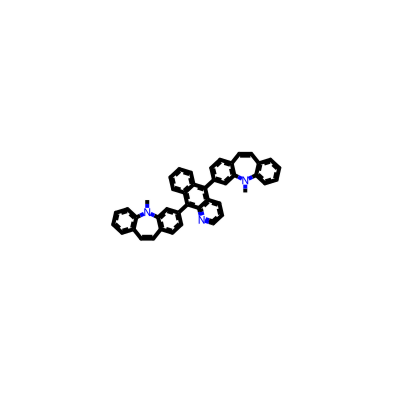 CN1c2ccccc2C=Cc2ccc(-c3c4ccccc4c(-c4ccc5c(c4)N(C)c4ccccc4C=C5)c4ncccc34)cc21